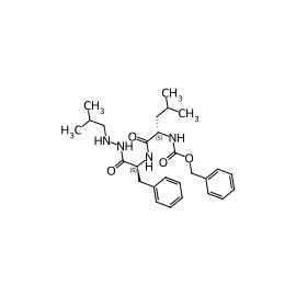 CC(C)CNNC(=O)[C@H](Cc1ccccc1)NC(=O)[C@H](CC(C)C)NC(=O)OCc1ccccc1